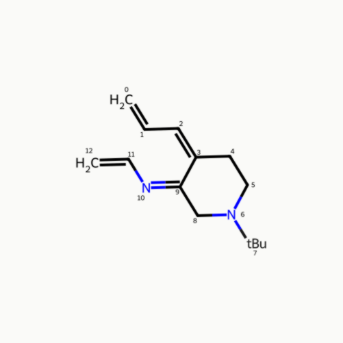 C=C/C=C1/CCN(C(C)(C)C)C/C1=N/C=C